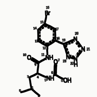 CC(C)CC(NC(=O)O)C(=O)Nc1ccc(Br)cc1-c1nn[nH]n1